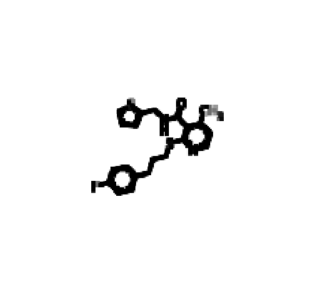 Cc1ccnc(SCCCc2ccc(F)cc2)c1C(=O)NCc1cccs1